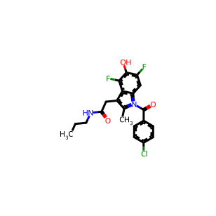 CCCNC(=O)Cc1c(C)n(C(=O)c2ccc(Cl)cc2)c2cc(F)c(O)c(F)c12